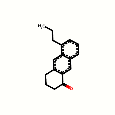 CCCc1cccc2cc3c(cc12)CCCC3=O